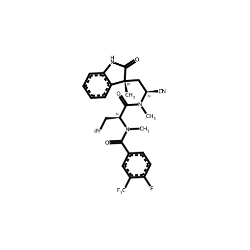 CC(C)C[C@@H](C(=O)N(C)[C@H](C#N)C[C@@]1(C)C(=O)Nc2ccccc21)N(C)C(=O)c1ccc(F)c(C(F)(F)F)c1